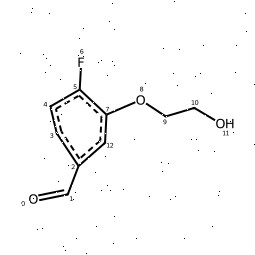 O=Cc1ccc(F)c(OCCO)c1